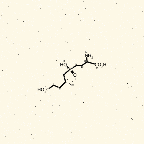 C[C@H](CCC(=O)O)CP(=O)(O)CCC(N)C(=O)O